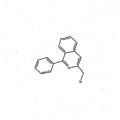 BrCc1cc2ccccc2c(-c2ccccc2)n1